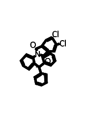 O=C1c2cc(Cl)c(Cl)cc2C(=O)N1c1ccccc1[C](c1ccccc1)c1ccccc1